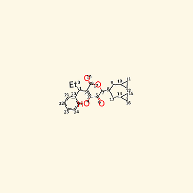 CCC(C1=C(O)C(=O)C(C(CC2CC2)CC2CC2)OC1=O)c1ccccc1